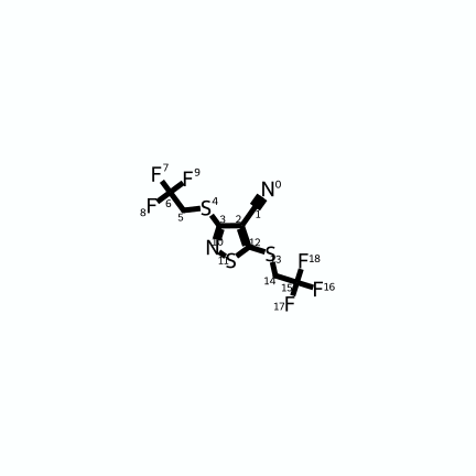 N#Cc1c(SCC(F)(F)F)nsc1SCC(F)(F)F